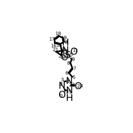 O=c1ncn(C/C=C/CCS(=O)(=O)NC2(c3ccccc3)CC2)c(=O)[nH]1